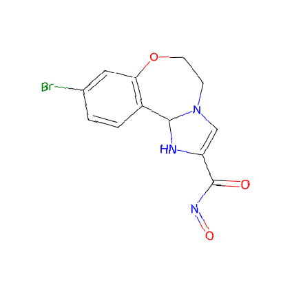 O=NC(=O)C1=CN2CCOc3cc(Br)ccc3C2N1